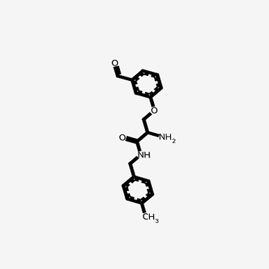 Cc1ccc(CNC(=O)C(N)COc2cccc(C=O)c2)cc1